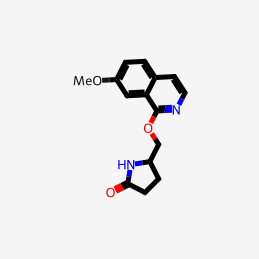 COc1ccc2ccnc(OCC3CCC(=O)N3)c2c1